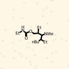 CCCCC(CC)C(NC)C(CC)COC(=O)NCC